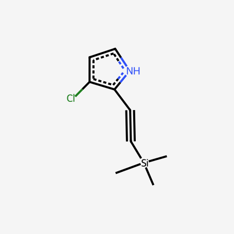 C[Si](C)(C)C#Cc1[nH]ccc1Cl